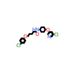 O=C(CCCCOc1ccc(Cl)cc1)N[C@H]1CC[C@H](Oc2cncc(Cl)c2)CC1